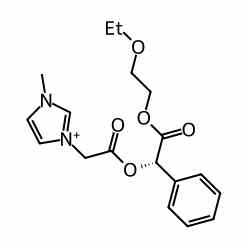 CCOCCOC(=O)[C@@H](OC(=O)C[n+]1ccn(C)c1)c1ccccc1